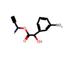 C#CC(I)OC(=O)C(O)c1cccc([N+](=O)[O-])c1